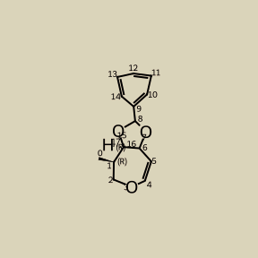 C[C@@H]1COC=CC2OC(c3ccccc3)O[C@@H]21